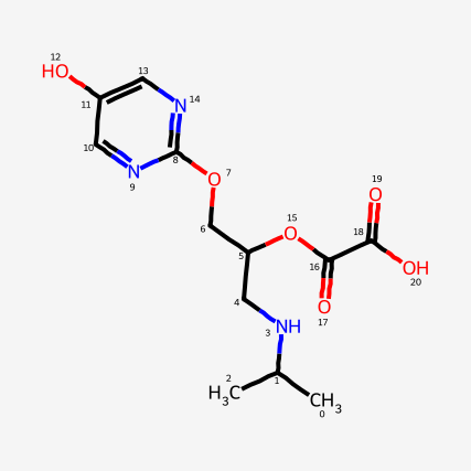 CC(C)NCC(COc1ncc(O)cn1)OC(=O)C(=O)O